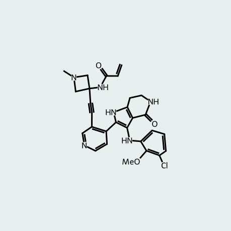 C=CC(=O)NC1(C#Cc2cnccc2-c2[nH]c3c(c2Nc2cccc(Cl)c2OC)C(=O)NCC3)CN(C)C1